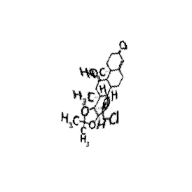 CC1(C)O[C@@H]2C[C@H]3[C@@H]4CCC5=CC(=O)CC[C@]5(C)C4[C@@H](O)C[C@]3(C)[C@]2(C(=O)CCl)O1